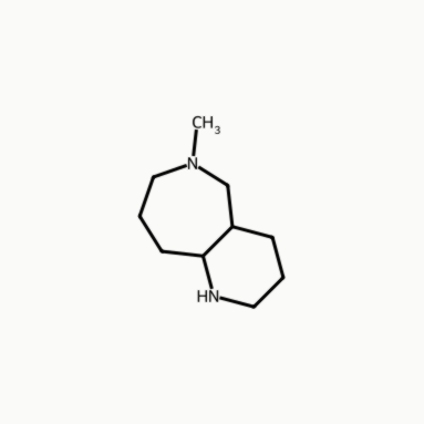 CN1CCCC2NCCCC2C1